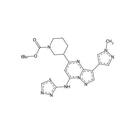 Cn1cc(-c2cnn3c(Nc4nncs4)cc(C4CCCN(C(=O)OC(C)(C)C)C4)nc23)cn1